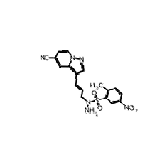 Cc1ccc([N+](=O)[O-])cc1S(=O)(=O)N(N)CC=Cc1cnn2ccc(C#N)cc12